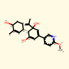 C=C(C)C1(O)C=C(c2ccc(OC(F)(F)F)nc2)C=C(O)[C@@H]1C1C=C(C)C(O)CC1